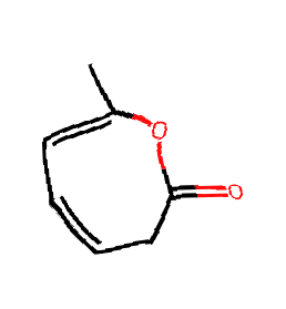 CC1=CC=CCC(=O)O1